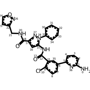 Nc1cccc(-c2ccc(Cl)c(C(=O)Nc3cc(C(=O)NCc4ccon4)nn3-c3ccccc3)c2)n1